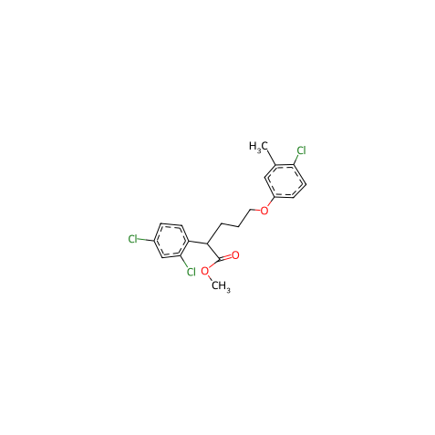 COC(=O)C(CCCOc1ccc(Cl)c(C)c1)c1ccc(Cl)cc1Cl